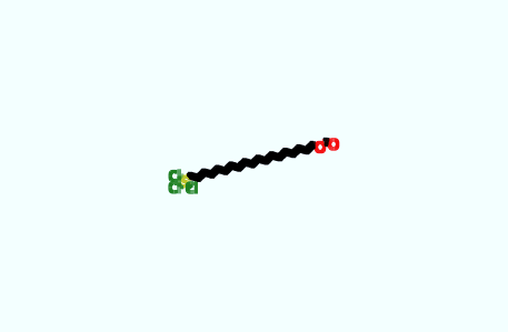 O=COCCCCCCCCCCCCCCCCCCCS(Cl)(Cl)Cl